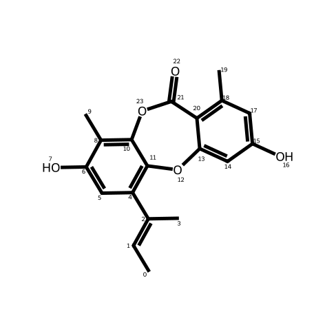 C/C=C(\C)c1cc(O)c(C)c2c1Oc1cc(O)cc(C)c1C(=O)O2